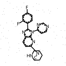 Fc1ccc(-c2nc3ccc(N4CC5CCC4CN5)nc3n2-c2ccncn2)c(F)c1